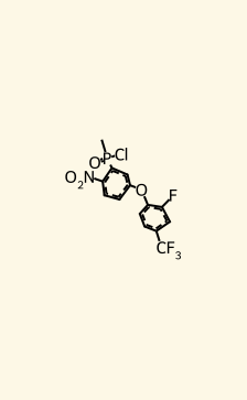 CP(=O)(Cl)c1cc(Oc2ccc(C(F)(F)F)cc2F)ccc1[N+](=O)[O-]